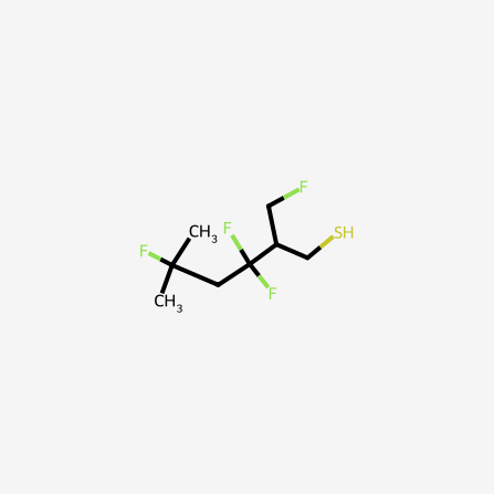 CC(C)(F)CC(F)(F)C(CF)CS